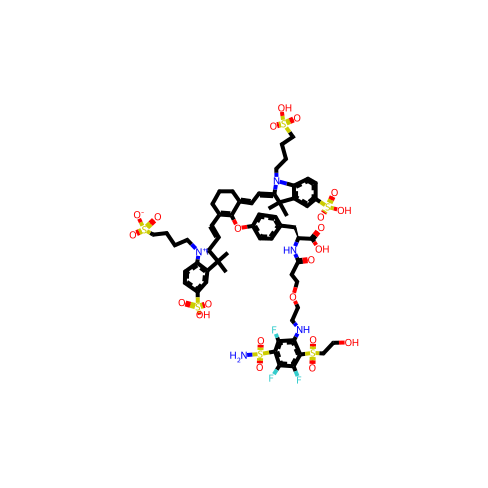 CC1(C)C(/C=C/C2=C(Oc3ccc(C[C@H](NC(=O)CCOCCNc4c(F)c(S(N)(=O)=O)c(F)c(F)c4S(=O)(=O)CCO)C(=O)O)cc3)C(=C/C=C3/N(CCCCS(=O)(=O)O)c4ccc(S(=O)(=O)O)cc4C3(C)C)/CCC2)=[N+](CCCCS(=O)(=O)[O-])c2ccc(S(=O)(=O)O)cc21